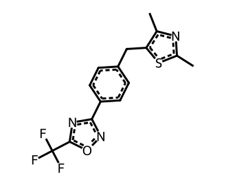 Cc1nc(C)c(Cc2ccc(-c3noc(C(F)(F)F)n3)cc2)s1